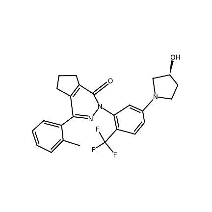 Cc1ccccc1-c1nn(-c2cc(N3CC[C@H](O)C3)ccc2C(F)(F)F)c(=O)c2c1CCC2